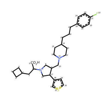 O=C(O)C(CC1CCC1)N1CC(CN2CCC(CCCc3ccc(F)cc3)CC2)C(c2ccsc2)C1